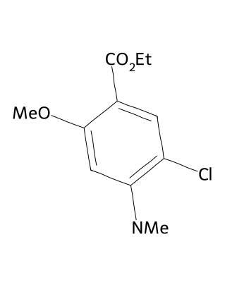 CCOC(=O)c1cc(Cl)c(NC)cc1OC